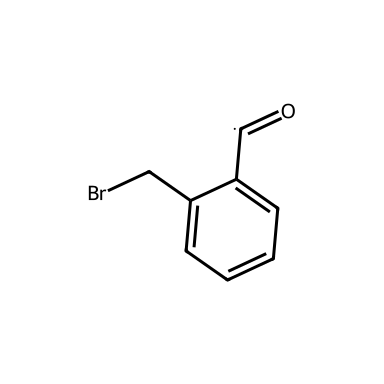 O=[C]c1ccccc1CBr